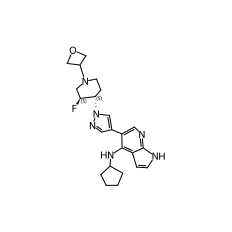 F[C@H]1CN(C2COC2)CC[C@@H]1n1cc(-c2cnc3[nH]ccc3c2NC2CCCC2)cn1